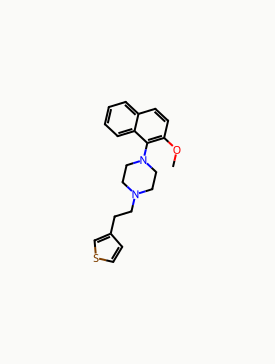 COc1ccc2ccccc2c1N1CCN(CCc2ccsc2)CC1